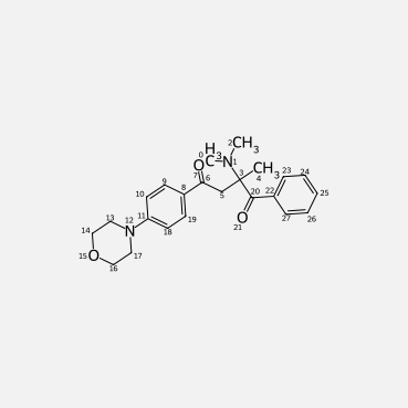 CN(C)C(C)(CC(=O)c1ccc(N2CCOCC2)cc1)C(=O)c1ccccc1